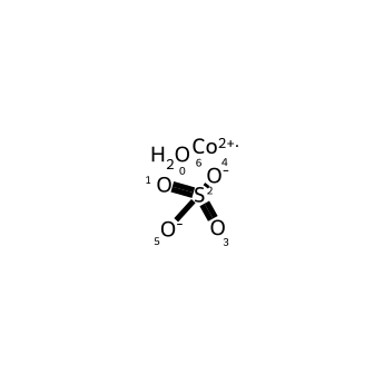 O.O=S(=O)([O-])[O-].[Co+2]